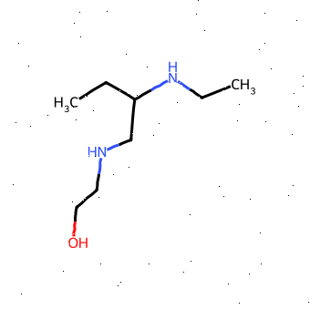 CCNC(CC)CNCCO